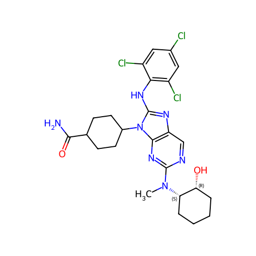 CN(c1ncc2nc(Nc3c(Cl)cc(Cl)cc3Cl)n(C3CCC(C(N)=O)CC3)c2n1)[C@H]1CCCC[C@H]1O